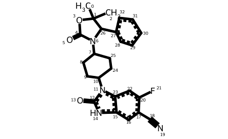 CC1(C)OC(=O)N(C2CCC(n3c(=O)[nH]c4cc(C#N)c(F)cc43)CC2)C1c1ccccc1